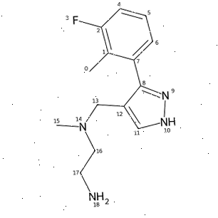 Cc1c(F)cccc1-c1n[nH]cc1CN(C)CCN